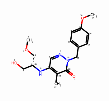 COC[C@@H](CO)Nc1cnn(Cc2ccc(OC)cc2)c(=O)c1C